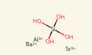 O[Si](O)(O)O.[Al+3].[Ba+2].[Sr+2]